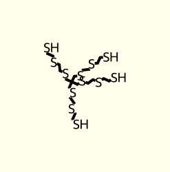 SCCSCCSCC(CSCCSCCS)(CSCCSCCS)CSCCSCCS